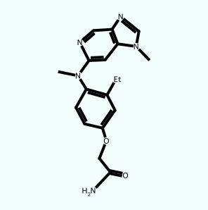 CCc1cc(OCC(N)=O)ccc1N(C)c1cc2c(cn1)ncn2C